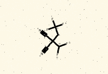 N#CC(C#N)(CC(F)(F)F)C(F)F